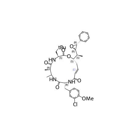 COc1ccc(C[C@H]2NC(=O)/C=C/C[C@@H]([C@H](C)[C@H]3O[C@@H]3c3ccccc3)OC(=O)[C@H](CC(C)(C)C)NC(=O)[C@H](C)C(C)NC2=O)cc1Cl